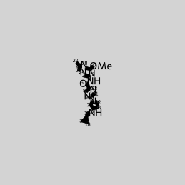 COc1nc(NC(=O)c2cnc(N3CC[C@H](NCC4CC4)C3)cn2)cn2cc(C)nc12